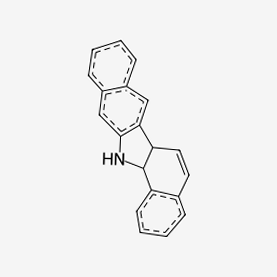 C1=CC2c3cc4ccccc4cc3NC2c2ccccc21